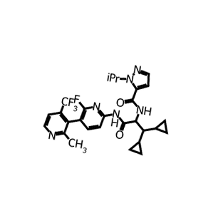 Cc1nccc(C(F)(F)F)c1-c1ccc(NC(=O)C(NC(=O)c2ccnn2C(C)C)C(C2CC2)C2CC2)nc1F